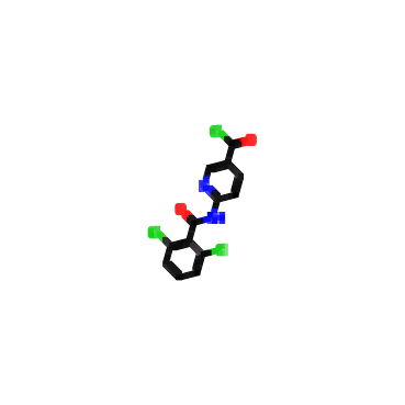 O=C(Cl)c1ccc(NC(=O)c2c(Cl)cccc2Cl)nc1